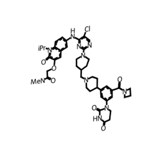 CNC(=O)COc1cc2cc(Nc3nc(N4CCC(CN5CCC(c6cc(C(=O)N7CCC7)cc(N7CCC(=O)NC7=O)c6)CC5)CC4)ncc3Cl)ccc2n(C(C)C)c1=O